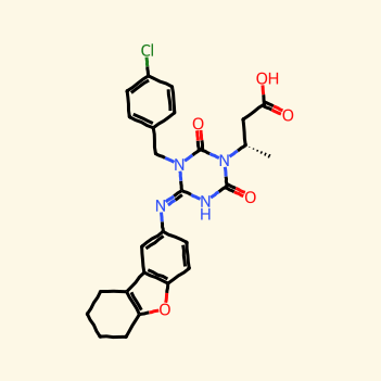 C[C@@H](CC(=O)O)n1c(=O)[nH]/c(=N\c2ccc3oc4c(c3c2)CCCC4)n(Cc2ccc(Cl)cc2)c1=O